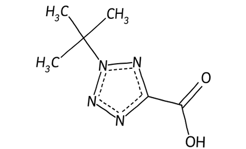 CC(C)(C)n1nnc(C(=O)O)n1